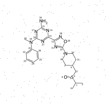 CC(C)[S+]([O-])CC1CCN(c2nc(-c3nc(N)nc(N(C)c4ccccc4)n3)no2)CC1